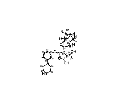 C[C@@H]1[C@@H](NC(=O)[C@@H]2[C@H]([C@H](C)O)C(O)ON2Cc2cccc(N3CCNCC3)c2)C[C@H]2C[C@@H]1C2(C)C